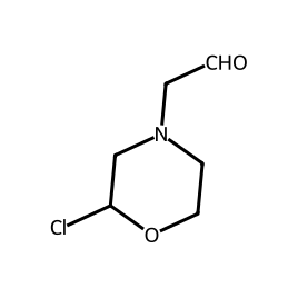 O=CCN1CCOC(Cl)C1